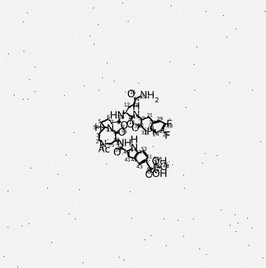 CC(=O)N1CC[C@H]2CC[C@@H](C(=O)N[C@@H](CCC(N)=O)C(=O)NC(Cc3ccc(F)c(F)c3)C(=O)C(C)C)N2C(=O)C(NC(=O)c2cc3cc(C(=O)P(=O)(O)O)ccc3[nH]2)C1